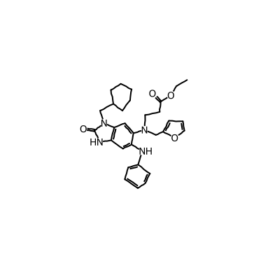 CCOC(=O)CCN(Cc1ccco1)c1cc2c(cc1Nc1ccccc1)[nH]c(=O)n2CC1CCCCC1